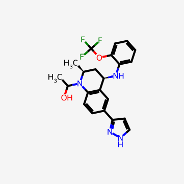 CC(O)N1c2ccc(-c3cc[nH]n3)cc2[C@H](Nc2ccccc2OC(F)(F)F)C[C@@H]1C